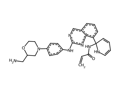 C=CC(=O)NC1(c2cccc3cnc(Nc4ccc(N5CCOC(CN)C5)cc4)nc23)C=CC=CN1